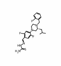 CC(C)C[C@H]1CN(c2cc(F)c(/C=N/NC(N)=S)cc2F)CCN1Cc1ccccc1F